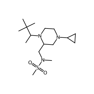 CC(N1CCN(C2CC2)CC1CN(C)S(C)(=O)=O)C(C)(C)C